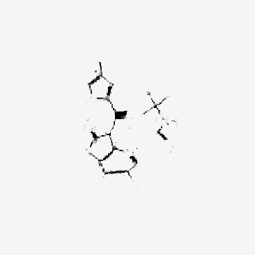 CC(C)(C)NC=O.Cc1csc(C(=O)C2C(=O)Nc3cc(Cl)cnc32)c1